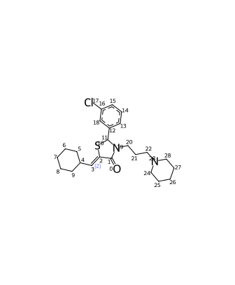 O=C1/C(=C/C2CCCCC2)SC(c2cccc(Cl)c2)N1CCCN1CCCCC1